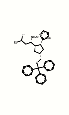 CCC(CC)C[C@H](NC(C)=O)[C@@H]1C[C@@H](COC(c2ccccc2)(c2ccccc2)c2ccccc2)C[C@H]1c1ncc[nH]1